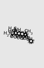 CNC1C(O)=C(C(N)=O)C(=O)[C@]2(C)C(O)=C3C(=O)c4c(O)c(CSC5CCCCC5)cc(C)c4CC3CC12